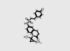 CC1CC1(C)N1C(=O)CCc2cc(NS(=O)(=O)CCc3ccc(Cl)cc3)ccc21